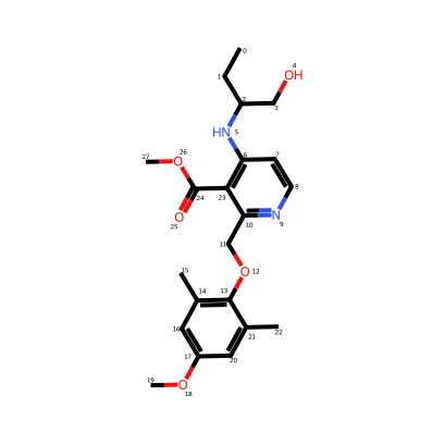 CCC(CO)Nc1ccnc(COc2c(C)cc(OC)cc2C)c1C(=O)OC